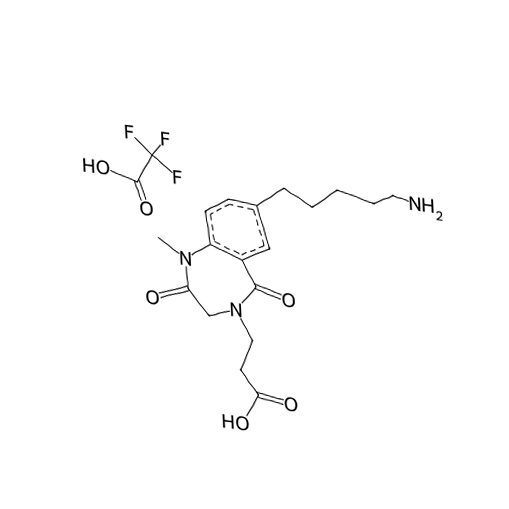 CN1C(=O)CN(CCC(=O)O)C(=O)c2cc(CCCCCN)ccc21.O=C(O)C(F)(F)F